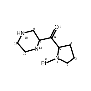 CCN1CCCC1C(=O)C1CNCC[N]1